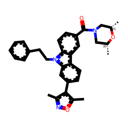 Cc1noc(C)c1-c1ccc2c3cc(C(=O)N4C[C@@H](C)O[C@@H](C)C4)ccc3n(CCc3ccccc3)c2c1